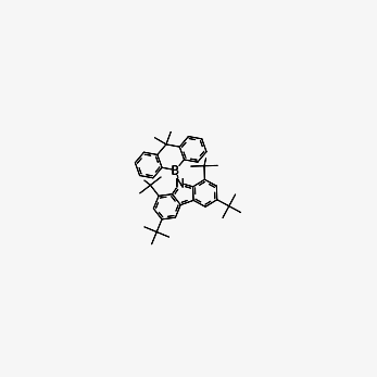 CC(C)(C)c1cc(C(C)(C)C)c2c(c1)c1cc(C(C)(C)C)cc(C(C)(C)C)c1n2B1c2ccccc2C(C)(C)c2ccccc21